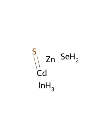 [InH3].[S]=[Cd].[SeH2].[Zn]